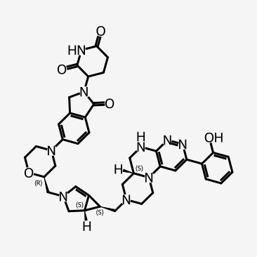 O=C1CCC(N2Cc3cc(N4CCO[C@H](CN5C=C6[C@@H](C5)[C@@H]6CN5CCN6c7cc(-c8ccccc8O)nnc7NC[C@H]6C5)C4)ccc3C2=O)C(=O)N1